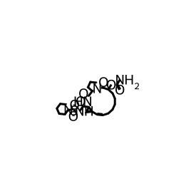 NC(=O)OC1CCCCCC=CC2CC2(C(=O)NS(=O)(=O)N2CCCCC2)NC(=O)C2CCCN2C1=O